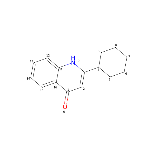 O=c1cc(C2CCCCC2)[nH]c2ccccc12